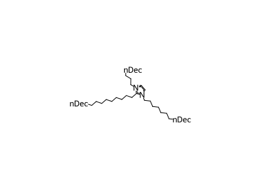 CCCCCCCCCCCCCCCCCCCc1n(CCCCCCCCCCCCCCCCC)cc[n+]1CCCCCCCCCCCCC